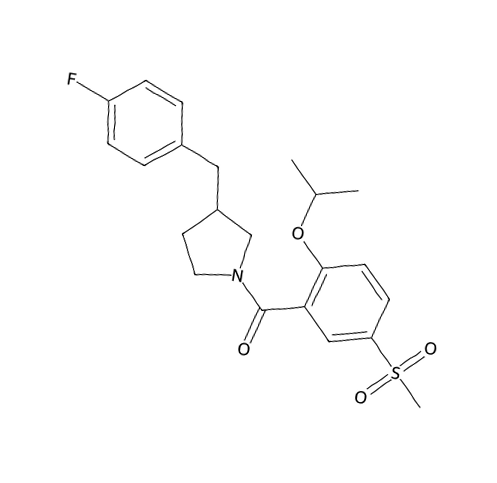 CC(C)Oc1ccc(S(C)(=O)=O)cc1C(=O)N1CCC(Cc2ccc(F)cc2)C1